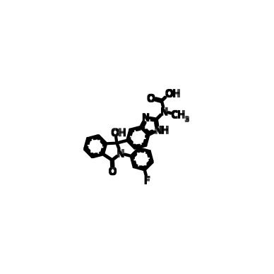 CN(C(=O)O)c1nc2cc(C3(O)c4ccccc4C(=O)N3c3cccc(F)c3)ccc2[nH]1